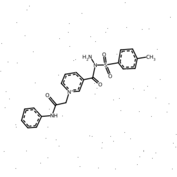 Cc1ccc(S(=O)(=O)N(N)C(=O)c2ccc[n+](CC(=O)Nc3ccccc3)c2)cc1